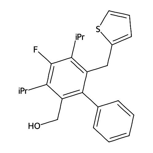 CC(C)c1c(F)c(C(C)C)c(Cc2cccs2)c(-c2ccccc2)c1CO